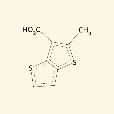 Cc1sc2ccsc2c1C(=O)O